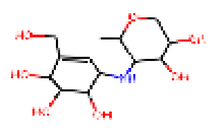 CC1OCC(O)C(O)C1NC1C=C(CO)C(O)C(O)C1O